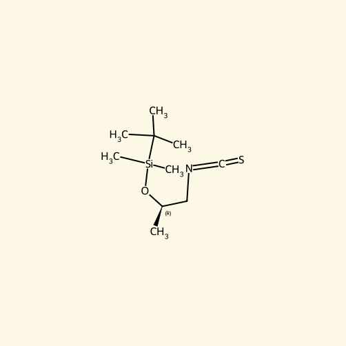 C[C@H](CN=C=S)O[Si](C)(C)C(C)(C)C